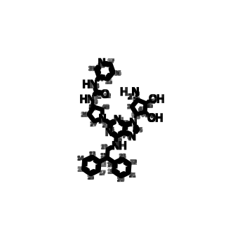 N[C@H]1C[C@@H](n2cnc3c(NCC(c4ccccc4)c4ccccc4)nc(N4CC[C@@H](NC(=O)Nc5cccnc5)C4)nc32)[C@H](O)[C@@H]1O